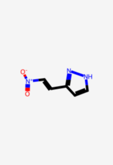 O=[N+]([O-])C=Cc1cc[nH]n1